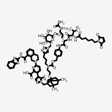 CO[C@H]1O[C@@H](Cn2cc(CCCN(CCOC34CC5(C)CC(C)(CC(Cn6ncc(-c7ccc(N8CCc9cccc(C(=O)Nc%10nc%11ccccc%11s%10)c9C8)nc7C(=O)O)c6C)(C5)C3)C4)C(=O)OCc3ccc(NC(=O)[C@H](CCCNC(N)=O)NC(=O)[C@@H](NC(=O)CCCCCN4C(=O)C=CC4=O)C(C)C)cc3)nn2)[C@H](O)[C@@H](O)[C@@H]1O